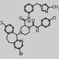 Cc1cn(Cc2cccc(NC(=O)C3CN(C4c5ccc(Cl)cc5CCc5cc(Br)cnc54)CCN3C(=O)Nc3ccc(Cl)cc3)c2)cn1